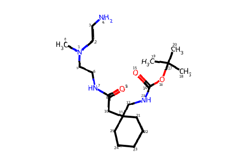 CN(CCN)CCNC(=O)CC1(CNC(=O)OC(C)(C)C)CCCCC1